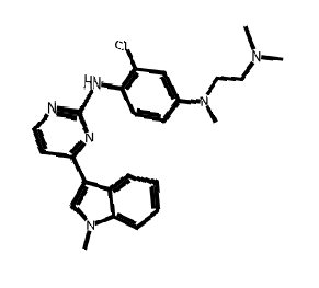 CN(C)CCN(C)c1ccc(Nc2nccc(-c3cn(C)c4ccccc34)n2)c(Cl)c1